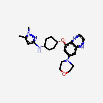 Cc1cc(N[C@H]2CC[C@@H](Oc3cc(N4CCOCC4)cc4nccnc34)CC2)nn1C